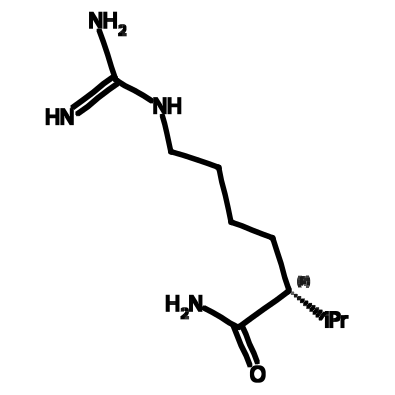 CC(C)[C@@H](CCCCNC(=N)N)C(N)=O